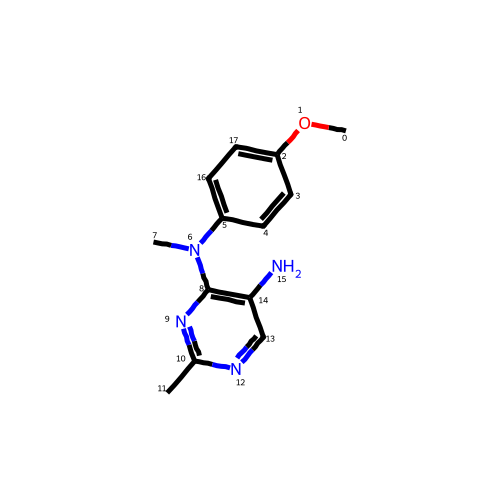 COc1ccc(N(C)c2nc(C)ncc2N)cc1